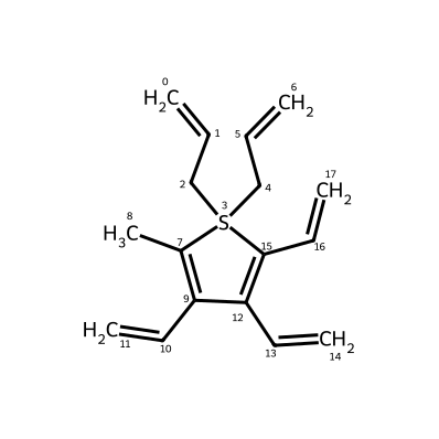 C=CCS1(CC=C)C(C)=C(C=C)C(C=C)=C1C=C